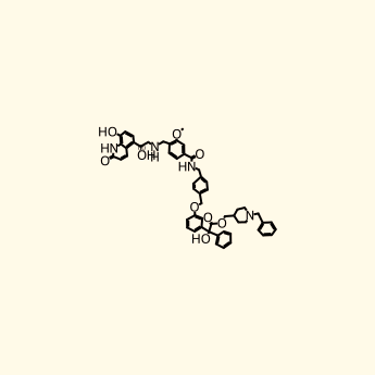 COc1cc(C(=O)NCc2ccc(COc3cccc(C(O)(C(=O)OCC4CCN(Cc5ccccc5)CC4)c4ccccc4)c3)cc2)ccc1CNC[C@H](O)c1ccc(O)c2[nH]c(=O)ccc12